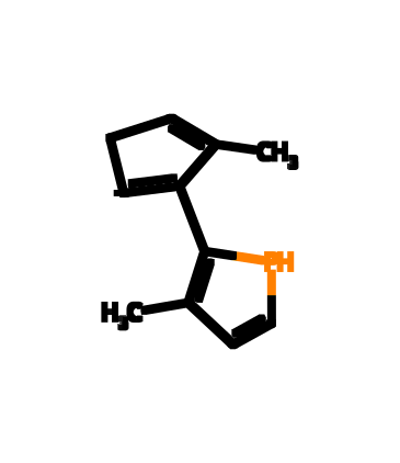 CC1=CC[C]=C1c1[pH]ccc1C